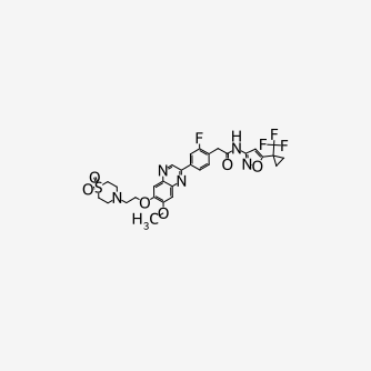 COc1cc2nc(-c3ccc(CC(=O)Nc4cc(C5(C(F)(F)F)CC5)on4)c(F)c3)cnc2cc1OCCN1CCS(=O)(=O)CC1